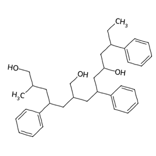 CCC(CC(O)CC(CC(CO)CC(CC(C)CO)c1ccccc1)c1ccccc1)c1ccccc1